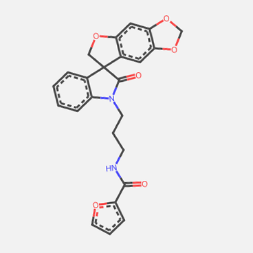 O=C(NCCCN1C(=O)C2(COc3cc4c(cc32)OCO4)c2ccccc21)c1ccco1